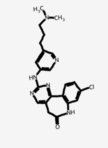 CN(C)CCCc1cncc(Nc2ncc3c(n2)-c2ccc(Cl)cc2NC(=O)C3)c1